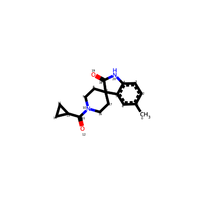 Cc1ccc2c(c1)C1(CCN(C(=O)C3CC3)CC1)C(=O)N2